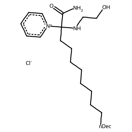 CCCCCCCCCCCCCCCCCCC(NCCO)(C(N)=O)[n+]1ccccc1.[Cl-]